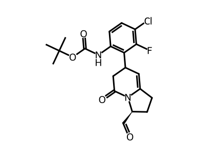 CC(C)(C)OC(=O)Nc1ccc(Cl)c(F)c1C1C=C2CC[C@@H](C=O)N2C(=O)C1